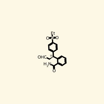 CCS(=O)(=O)c1ccc([C@H](CC=O)c2ccccc2C(N)=O)cc1